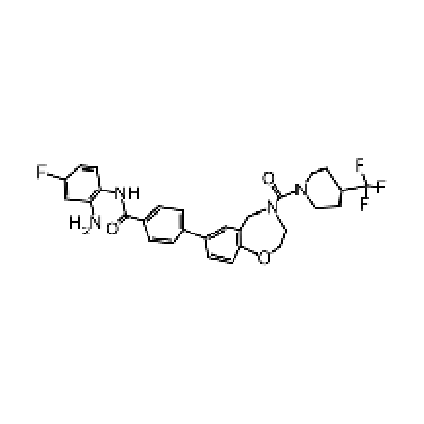 Nc1cc(F)ccc1NC(=O)c1ccc(-c2ccc3c(c2)CN(C(=O)N2CCC(C(F)(F)F)CC2)CCO3)cc1